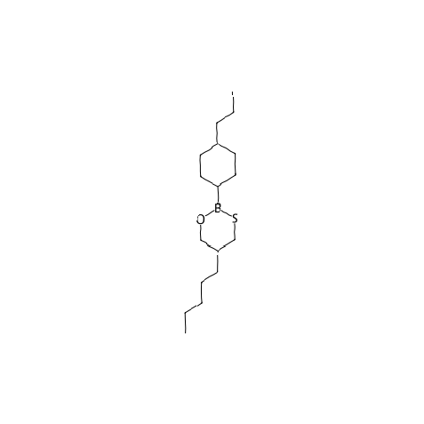 CCCCCC1COB(C2CCC(CCC)CC2)SC1